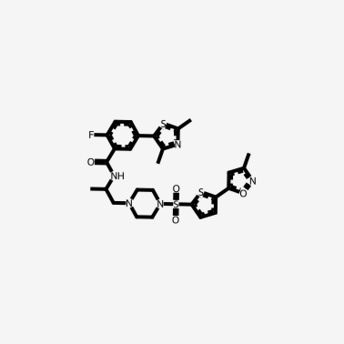 Cc1cc(-c2ccc(S(=O)(=O)N3CCN(CC(C)NC(=O)c4cc(-c5sc(C)nc5C)ccc4F)CC3)s2)on1